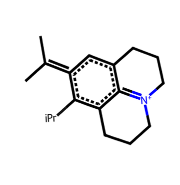 CC(C)=c1cc2c3c(c1C(C)C)CCC[N+]=3CCC2